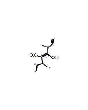 C=CC(F)/C(C(=O)O)=C(\C(=O)O)C(F)C=C